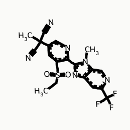 CCS(=O)(=O)c1cc(C(C)(C#N)C#N)cnc1-c1nc2cc(C(F)(F)F)ncc2n1C